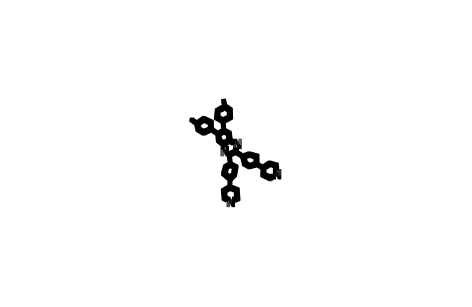 Cc1ccc(-c2cc3nc(-c4ccc(-c5ccncc5)cc4)c(-c4ccc(-c5ccncc5)cc4)nc3cc2-c2ccc(C)cc2)cc1